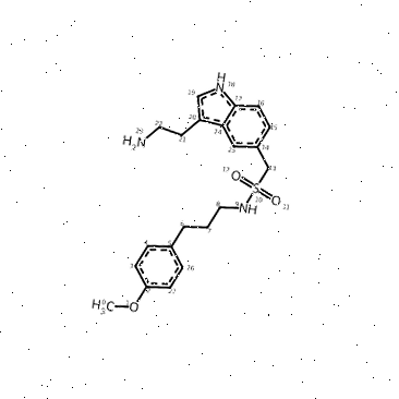 COc1ccc(CCCNS(=O)(=O)Cc2ccc3[nH]cc(CCN)c3c2)cc1